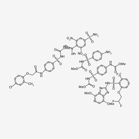 CCCN(CCC)c1c([N+](=O)[O-])cc(S(N)(=O)=O)cc1[N+](=O)[O-].COC(=O)NS(=O)(=O)c1ccc(N)cc1.COC(=O)NS(=O)(=O)c1ccc(NC(=O)COc2ccc(Cl)cc2C)cc1.COC(=O)Nc1ccc(S(=O)(=O)NC(=O)OC)cc1.COc1cnc(OC)n2nc(NS(=O)(=O)c3c(OCC(F)F)cccc3C(F)(F)F)nc12